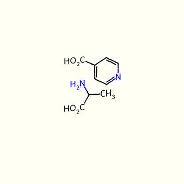 CC(N)C(=O)O.O=C(O)c1ccncc1